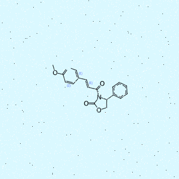 C=C(\C=C/C(/C=C/C(=O)N1C(=O)OCC1c1ccccc1)=C\C)OC